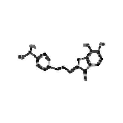 CN(C)c1ccc(C=CC=C2Oc3c(ccc(O)c3O)C2=O)cc1